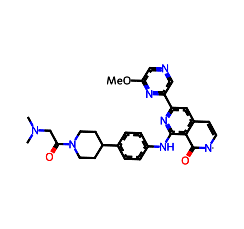 COc1cncc(-c2cc3c(c(Nc4ccc(C5CCN(C(=O)CN(C)C)CC5)cc4)n2)C(=O)[N]C=C3)n1